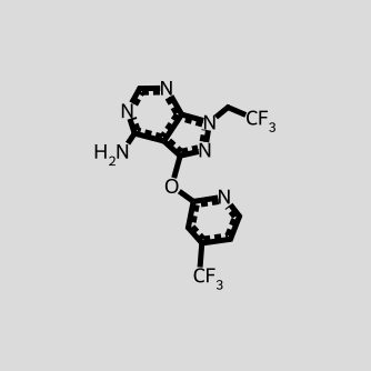 Nc1ncnc2c1c(Oc1cc(C(F)(F)F)ccn1)nn2CC(F)(F)F